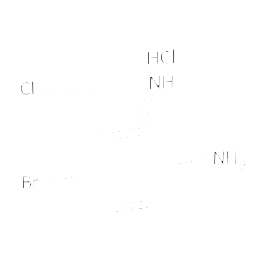 Cl.Nc1ccc(Br)c2c(Cl)c[nH]c12